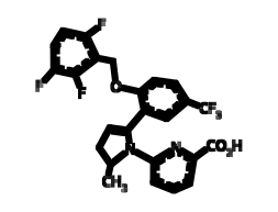 CC1CC=C(c2cc(C(F)(F)F)ccc2OCc2c(F)ccc(F)c2F)N1c1cccc(C(=O)O)n1